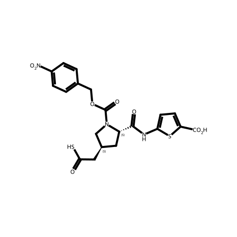 O=C(S)C[C@@H]1C[C@@H](C(=O)Nc2ccc(C(=O)O)s2)N(C(=O)OCc2ccc([N+](=O)[O-])cc2)C1